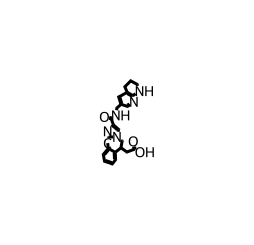 O=C(O)CC1Cn2cc(C(=O)NCc3cnc4c(c3)CCCN4)nc2Cc2ccccc21